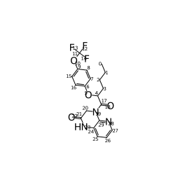 CCCCC(Oc1ccc(OC(F)(F)F)cc1)C(=O)N1CC(=O)Nc2cccnc21